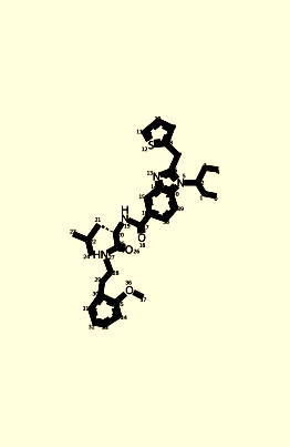 CCC(CC)n1c(Cc2cccs2)nc2cc(C(=O)N[C@@H](CC(C)C)C(=O)NCCc3ccccc3OC)ccc21